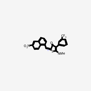 CNC1=C(c2cccc(C(F)(F)F)c2)C(=O)/C(=C\c2cccc3cc([N+](=O)[O-])ccc23)S1